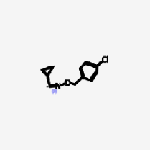 Clc1ccc(CO/N=[C]\C2CC2)cc1